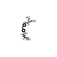 CCCCNC(=O)C(C)(C)C(=O)Nc1ccc(Cc2ccc(NC(=O)N(CCO)CCO)cc2)cc1